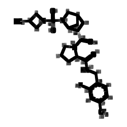 N#CC1CN(S(=O)(=O)N2CC3CC2[C@@H](C(=O)N2CCC[C@@H]2C(=O)NCc2ccc(C(F)(F)F)cc2F)C3)C1